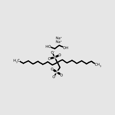 CCCCCCCCC(CCCCCCCC)(CS(=O)(=O)[O-])S(=O)(=O)[O-].OCCO.[Na+].[Na+]